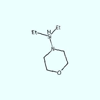 CC[SiH](CC)N1CCOCC1